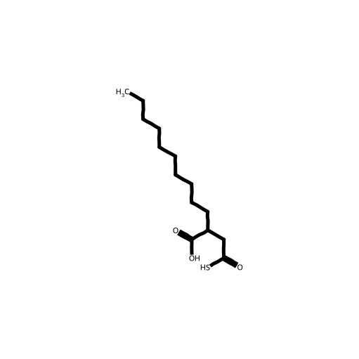 CCCCCCCCCCC(CC(=O)S)C(=O)O